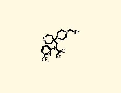 CCC(=O)N(CC1(N2CCN(CC(C)C)CC2)CCSCC1)c1cccc(C(F)(F)F)n1